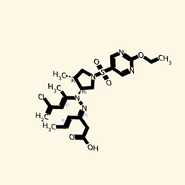 C=C(Cl)/C=C(\C)N(/N=C(\C=C\C)CC(=O)O)[C@H]1CN(S(=O)(=O)c2cnc(OCC)nc2)C[C@H]1C